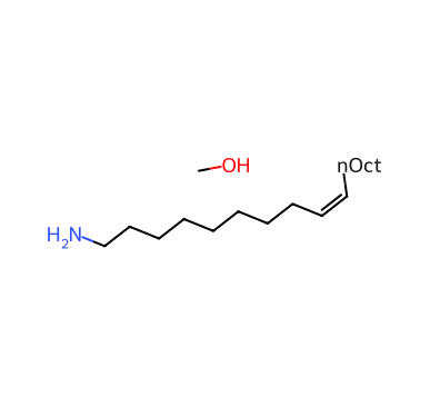 CCCCCCCC/C=C\CCCCCCCCN.CO